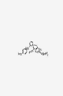 CCN(CC)CC.Sc1ccccc1.Sc1ccccc1.Sc1ccccc1.[SnH2]